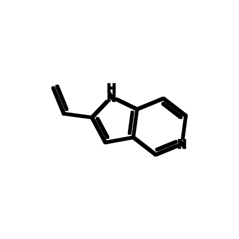 C=Cc1cc2cnccc2[nH]1